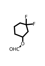 O=COC1CCCC(F)(F)C1